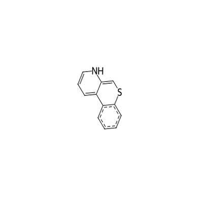 C1=CNC2=CSc3ccccc3C2=C1